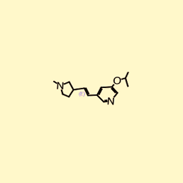 CC(C)Oc1cncc(/C=C/C2CCN(C)C2)c1